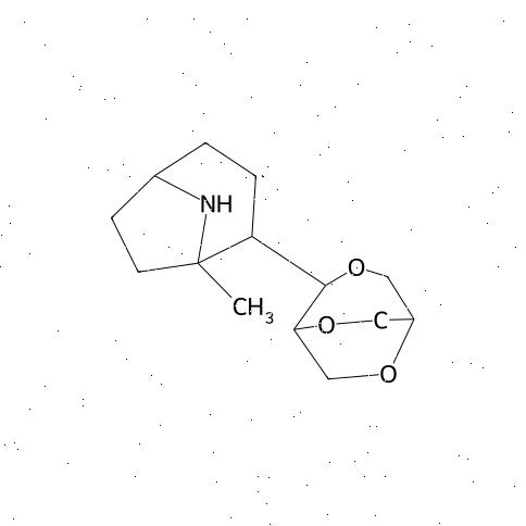 CC12CCC(C[CH]C1C1OCC3COC1CO3)N2